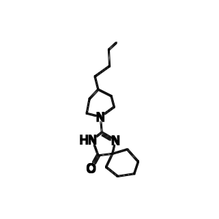 CCCCC1CCN(C2=NC3(CCCCC3)C(=O)N2)CC1